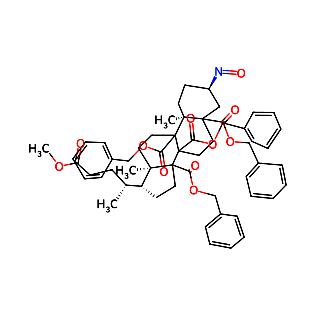 COC(=O)CC[C@@H](C)[C@H]1CCC2(C(=O)OCc3ccccc3)C3(C(=O)OCc4ccccc4)CCC4(C(=O)OCc5ccccc5)C[C@H](N=O)CC[C@]4(C)C3(C(=O)OCc3ccccc3)CC[C@]12C